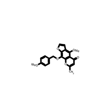 COc1ccc(COc2c3occc3c(OC)c3c(=O)cc(C)oc23)cc1